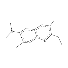 CCc1nc2cc(C)c(N(C)C)cc2cc1C